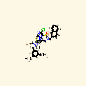 CC[N+](CBr)(CCCCN(Cc1ccc2ccccc2c1)[S+]([O-])c1c(Cl)nc2sccn12)Cc1cc(C)cc(C)c1